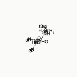 CC(C)(C)OCCC(C)(C)OC(=O)NCCCCCCN(C=O)C(=O)N(CCCCCCN=C=O)C(=O)NCCCCCCN=C=O